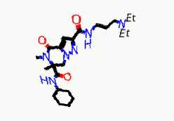 CCN(CC)CCCNC(=O)c1cc2n(n1)CC(C)(C(=O)NC1CCCCC1)N(C)C2=O